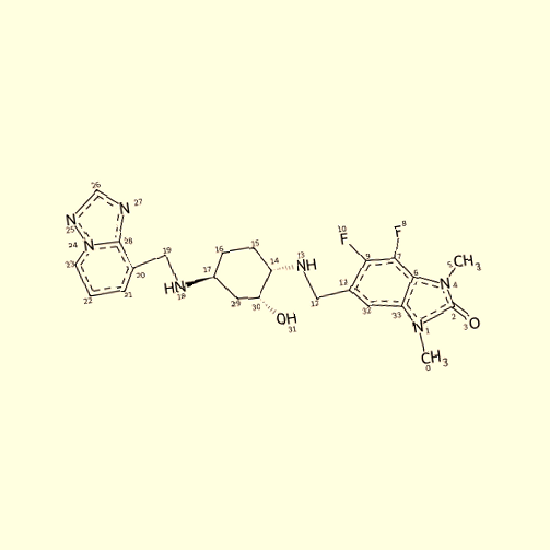 Cn1c(=O)n(C)c2c(F)c(F)c(CN[C@H]3CC[C@H](NCc4cccn5ncnc45)C[C@H]3O)cc21